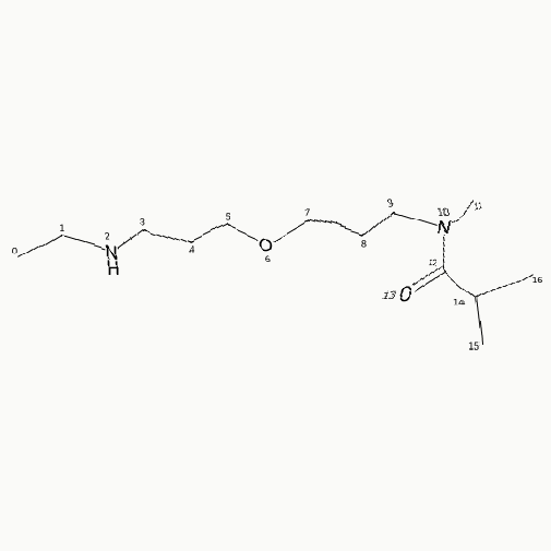 CCNCCCOCCCN(C)C(=O)C(C)C